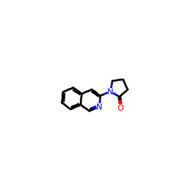 O=C1CCCN1c1cc2ccccc2cn1